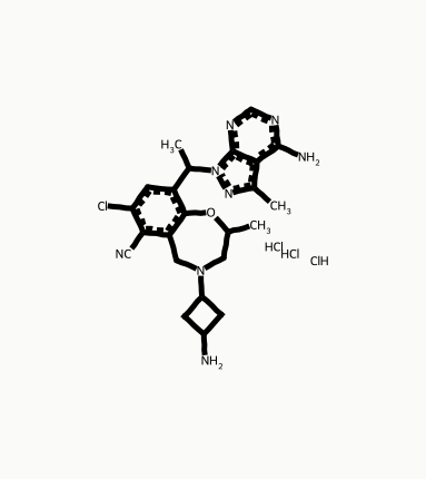 Cc1nn(C(C)c2cc(Cl)c(C#N)c3c2OC(C)CN(C2CC(N)C2)C3)c2ncnc(N)c12.Cl.Cl.Cl